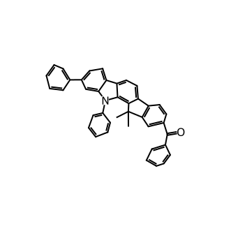 CC1(C)c2cc(C(=O)c3ccccc3)ccc2-c2ccc3c4ccc(-c5ccccc5)cc4n(-c4ccccc4)c3c21